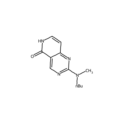 CCCCN(C)c1ncc2c(=O)[nH]ccc2n1